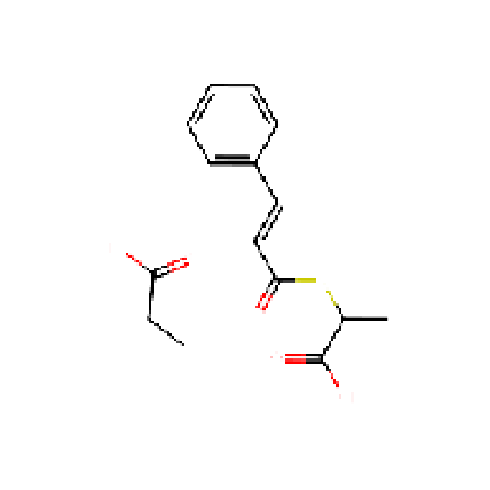 CC(SC(=O)C=Cc1ccccc1)C(=O)O.CCC(=O)O